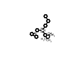 CC1(C)CCC(C)(C)c2cc(-c3nc(-c4ccc(-c5cccc(-c6ccccc6)c5)cc4)nc(-c4cccc(-n5c6ccccc6c6ccccc65)c4)n3)ccc21